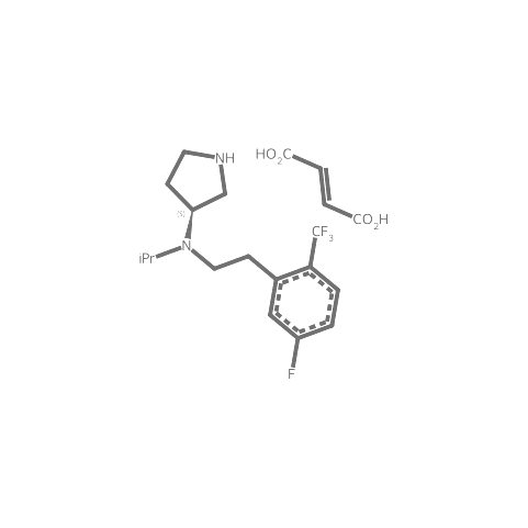 CC(C)N(CCc1cc(F)ccc1C(F)(F)F)[C@H]1CCNC1.O=C(O)C=CC(=O)O